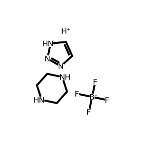 C1CNCCN1.F[B-](F)(F)F.[H+].c1c[nH]nn1